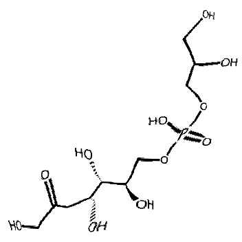 O=C(CO)[C@@H](O)[C@H](O)[C@H](O)COP(=O)(O)OCC(O)CO